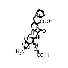 Nc1nc(C(=NOCC(=O)O)C(=O)NC2C(=O)N3C(C(=O)[O-])=C(C[n+]4ccccc4)CS[C@@H]23)c(Cl)s1